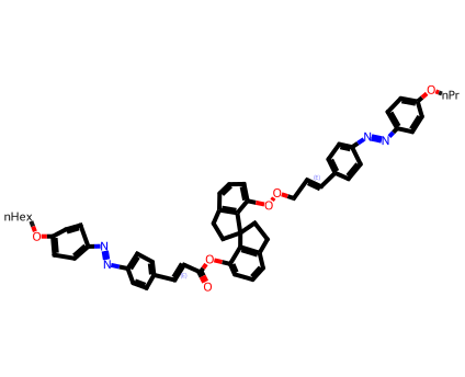 CCCCCCOc1ccc(N=Nc2ccc(/C=C/C(=O)Oc3cccc4c3C3(CCc5cccc(OOC/C=C/c6ccc(N=Nc7ccc(OCCC)cc7)cc6)c53)CC4)cc2)cc1